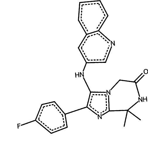 CC1(C)NC(=O)Cn2c1nc(-c1ccc(F)cc1)c2Nc1cnc2ccccc2c1